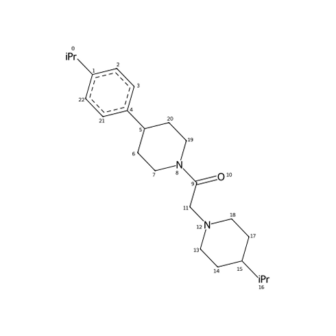 CC(C)c1ccc(C2CCN(C(=O)CN3CCC(C(C)C)CC3)CC2)cc1